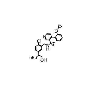 CCCCC(CO)c1ccc(Cl)c(CNC2(c3cnccc3-c3ccccc3OC3CC3)CC2)c1